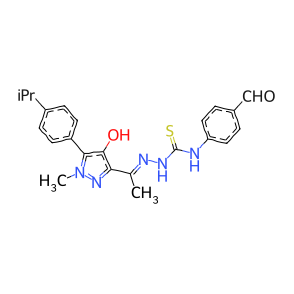 C/C(=N\NC(=S)Nc1ccc(C=O)cc1)c1nn(C)c(-c2ccc(C(C)C)cc2)c1O